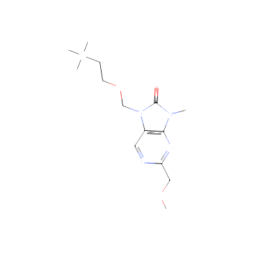 COCc1ncc2c(n1)n(C)c(=O)n2COCC[Si](C)(C)C